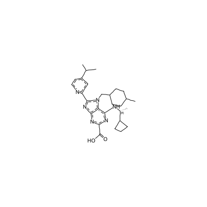 CC1CCC(Cn2c(-c3cc(C(C)C)ccn3)nc3nc(C(=O)O)nc(N[C@H](C)C4CCC4)c32)CC1